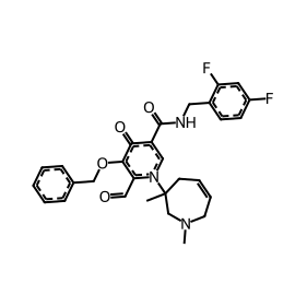 CN1CC=CCC(C)(n2cc(C(=O)NCc3ccc(F)cc3F)c(=O)c(OCc3ccccc3)c2C=O)C1